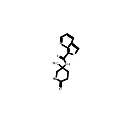 O=CC1(NC(=O)c2scc3cccnc23)CCC(=O)NC1